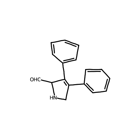 O=CC1NCC(c2ccccc2)=C1c1ccccc1